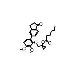 CCCCCC(=O)OC1(COc2c(-c3ccc4c(c3)CCC4=O)ccc(OC)c2OC)CC1